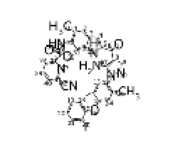 Cc1cc2cc(C(=O)c3cnn(-c4ccc(Oc5ccccc5F)cc4C)c3N)[nH]c2cc1NS(=O)(=O)c1cccc(C#N)n1